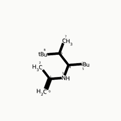 C=C(C)NC(C(C)CC)C(C)C(C)(C)C